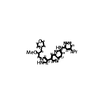 COC(CN1CCOCC1)CN1C=C(c2cnc3ccc(Nc4cc(C(C)C)cnn4)nc3c2)CN1